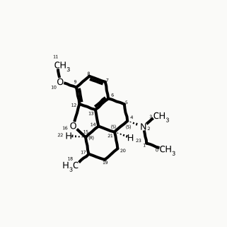 CCN(C)[C@H]1Cc2ccc(OC)c3c2C2[C@H](O3)C(C)CC[C@@H]21